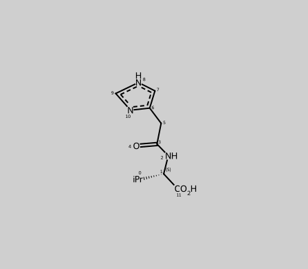 CC(C)[C@H](NC(=O)Cc1c[nH]cn1)C(=O)O